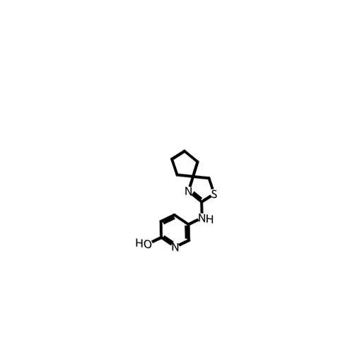 Oc1ccc(NC2=NC3(CCCC3)CS2)cn1